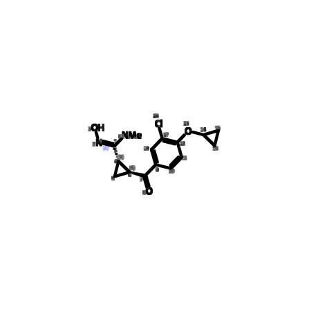 CN/C(=N\O)[C@H]1C[C@@H]1C(=O)c1ccc(OC2CC2)c(Cl)c1